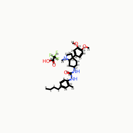 CCCCc1ccc(NC(=O)NC2CCC3(c4ccc(OC)c(OC)c4)CCN(C)C3C2)c(C)c1.O=C(O)C(F)(F)F